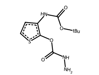 CC(C)(C)OC(=O)Nc1ccsc1OC(=O)NN